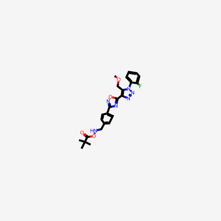 COCc1c(-c2nc(-c3ccc(CNOC(=O)C(C)(C)C)cc3)no2)nnn1-c1ccccc1F